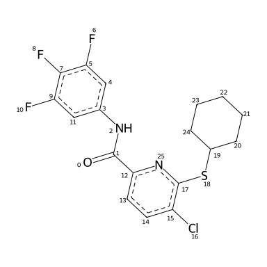 O=C(Nc1cc(F)c(F)c(F)c1)c1ccc(Cl)c(SC2CCCCC2)n1